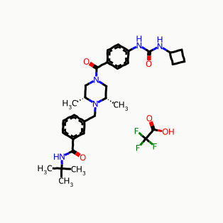 C[C@@H]1CN(C(=O)c2ccc(NC(=O)NC3CCC3)cc2)C[C@H](C)N1Cc1cccc(C(=O)NC(C)(C)C)c1.O=C(O)C(F)(F)F